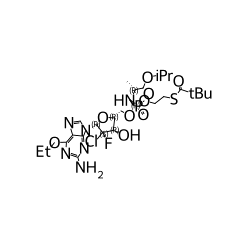 CCOc1nc(N)nc2c1ncn2[C@@H]1O[C@H](CO[P@](=O)(N[C@H](C)C(=O)OC(C)C)OCCSC(=O)C(C)(C)C)[C@@H](O)[C@]1(F)Cl